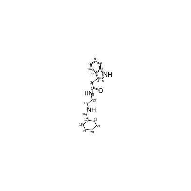 O=C(Cc1c[nH]c2ccccc12)NCCNCC1CCCCC1